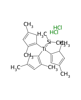 CC1=CC(C)[C]([Ti]([C]2=C(C)C=C(C)C2)([C]2=C(C)C=C(C)C2)=[Si](C)C)=C1.Cl.Cl